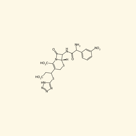 NC(C(=O)NC1C(=O)N2C(C(=O)O)=C(C(CC(=O)O)Sc3nnn[nH]3)CS[C@@H]12)c1cccc([N+](=O)[O-])c1